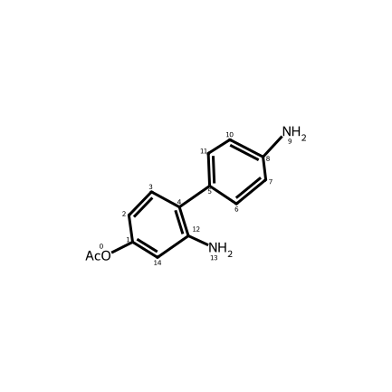 CC(=O)Oc1ccc(-c2ccc(N)cc2)c(N)c1